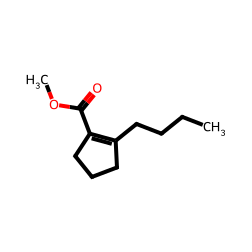 CCCCC1=C(C(=O)OC)CCC1